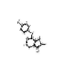 Cc1[nH]c2c(Oc3ccc(F)cc3)nccc2c1C